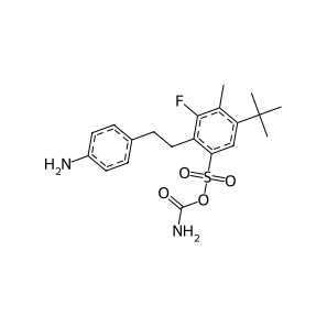 Cc1c(C(C)(C)C)cc(S(=O)(=O)OC(N)=O)c(CCc2ccc(N)cc2)c1F